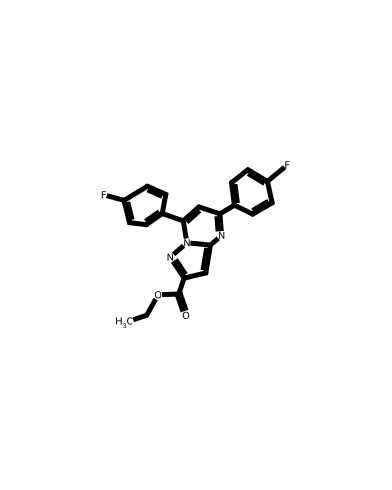 CCOC(=O)c1cc2nc(-c3ccc(F)cc3)cc(-c3ccc(F)cc3)n2n1